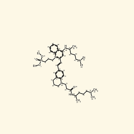 CCOP(=O)(CCC[n+]1c(C=Cc2ccc3c(c2)CCCN3CCC(=O)NC(C)CCCN(C)C)cc(NC(C)CCCN(CC)CC)c2ccccc21)OCC